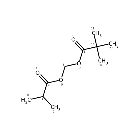 CC(C)C(=O)OCOC(=O)C(C)(C)C